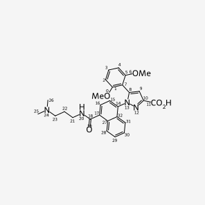 COc1cccc(OC)c1-c1cc(C(=O)O)nn1-c1ccc(C(=O)NCCCN(C)C)c2ccccc12